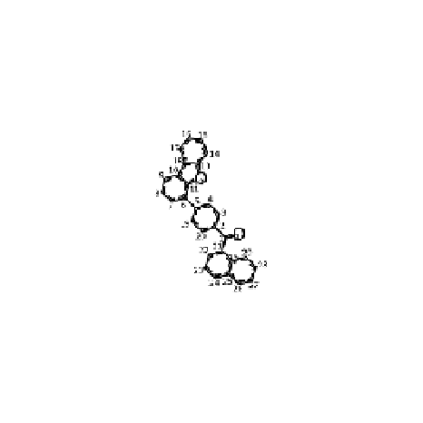 O=C(c1ccc(-c2cccc3c2oc2ccccc23)cc1)c1cccc2ccccc12